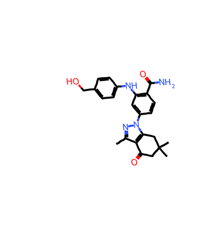 Cc1nn(-c2ccc(C(N)=O)c(Nc3ccc(CO)cc3)c2)c2c1C(=O)CC(C)(C)C2